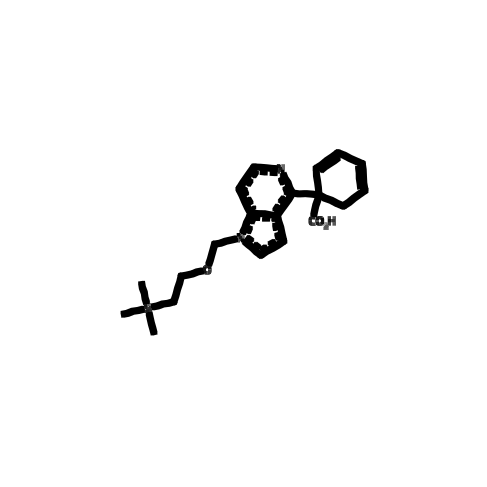 C[Si](C)(C)CCOCn1ccc2c(C3(C(=O)O)C=CC=CC3)nccc21